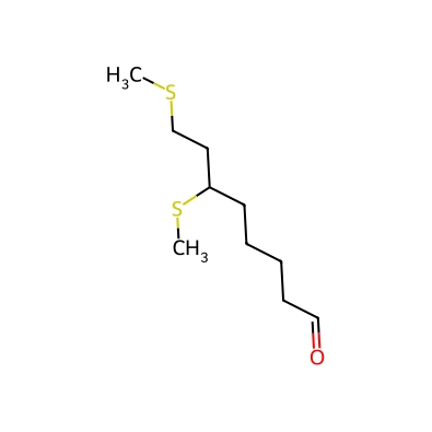 CSCCC(CCCCC=O)SC